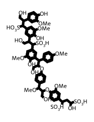 COc1ccc(C(c2cc(C(C(CO)c3cc(C(C(CO)c4ccc(O)c(OC)c4)S(=O)(=O)O)cc(OC)c3O)S(=O)(=O)O)cc(OC)c2O)C(CO)Oc2ccc(C(OC)C(CO)Oc3ccc(C(CC(O)S(=O)(=O)O)S(=O)(=O)O)cc3OC)cc2)cc1